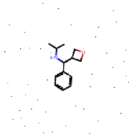 CC(C)NC(c1ccccc1)C1COC1